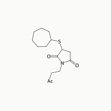 CC(=O)CCN1C(=O)CC(SC2CCCCCC2)C1=O